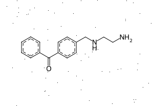 NCCNCc1ccc(C(=O)c2ccccc2)cc1